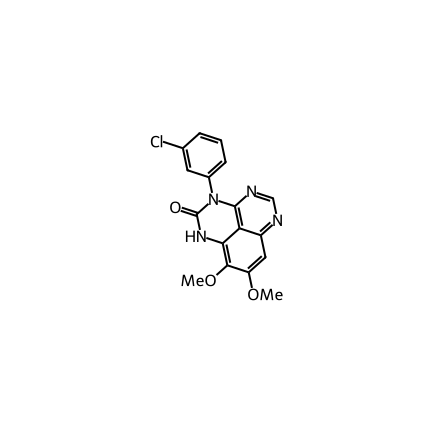 COc1cc2ncnc3c2c(c1OC)NC(=O)N3c1cccc(Cl)c1